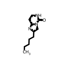 CCCCCc1cn2c(=O)[nH]ccc2n1